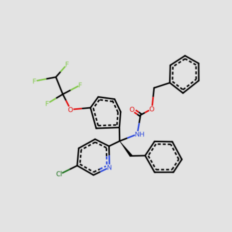 O=C(N[C@@](Cc1ccccc1)(c1cccc(OC(F)(F)C(F)F)c1)c1ccc(Cl)cn1)OCc1ccccc1